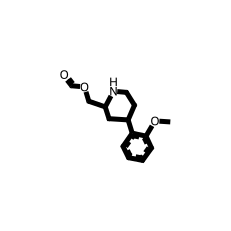 COc1ccccc1C1CCNC(COC=O)C1